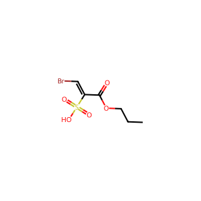 CCCOC(=O)C(=CBr)S(=O)(=O)O